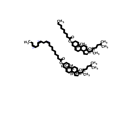 CC/C=C\C/C=C\C/C=C\CCCCCCCC(=O)OC1CC[C@@]2(C)C(=CC[C@H]3[C@@H]4CC[C@H]([C@H](C)CCCC(C)C)[C@@]4(C)CC[C@@H]32)C1.CCCCCCCCC(=O)OC1CC[C@@]2(C)C(=CCC3C2CC[C@@]2(C)C3CC[C@@H]2[C@H](C)CCCC(C)C)C1